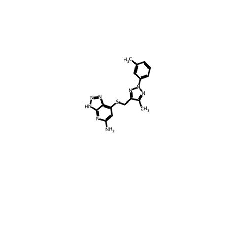 Cc1cccc(-n2nc(C)c(CSc3cc(N)nc4[nH]nnc34)n2)c1